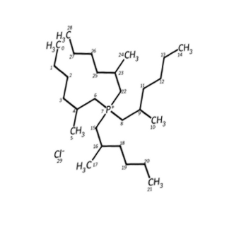 CCCCC(C)C[P+](CC(C)CCCC)(CC(C)CCCC)CC(C)CCCC.[Cl-]